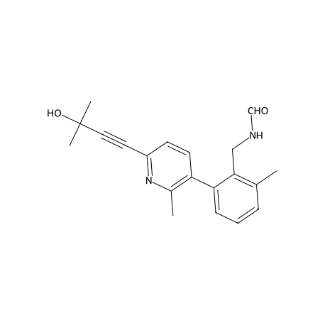 Cc1cccc(-c2ccc(C#CC(C)(C)O)nc2C)c1CNC=O